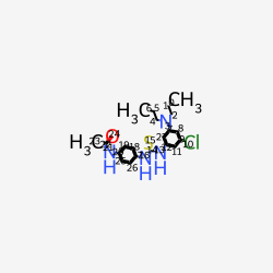 CCCN(CCC)c1cc(Cl)cc(NC(=S)Nc2ccc(NC(C)=O)cc2)c1